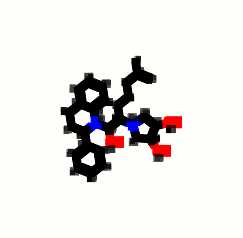 C=C(C)CCCC(C(O)N1c2ccccc2CCC1c1ccccc1)N1CC(O)C(O)C1